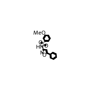 COc1cccc(S(=O)(=O)Nc2cc(-c3ccccc3)on2)c1